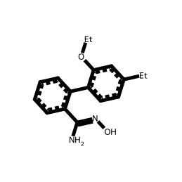 [CH2]Cc1ccc(-c2ccccc2C(N)=NO)c(OCC)c1